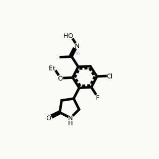 CCOc1c(/C(C)=N/O)cc(Cl)c(F)c1C1CNC(=O)C1